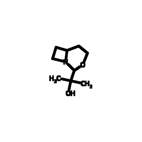 CC(C)(O)C1OCCC2CCN21